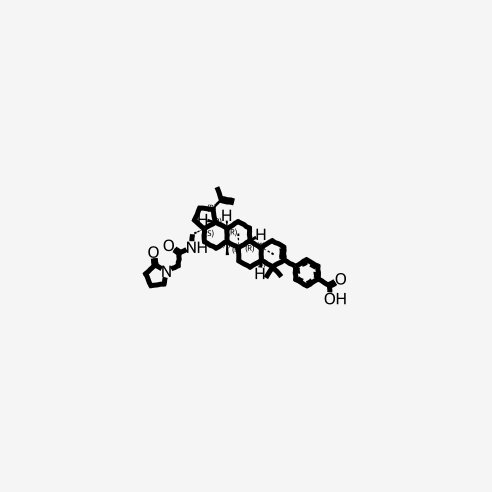 C=C(C)[C@@H]1CC[C@]2(CNC(=O)CN3CCCC3=O)CC[C@]3(C)[C@H](CC[C@@H]4[C@@]5(C)CC=C(c6ccc(C(=O)O)cc6)C(C)(C)[C@@H]5CC[C@]43C)[C@@H]12